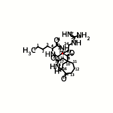 CCCC[C@@H]1NC[C@H](C(=O)C23CCCC(=O)[C@@H](C2)NC(=O)[C@@H]3CCCNC(=N)N)NC1=O